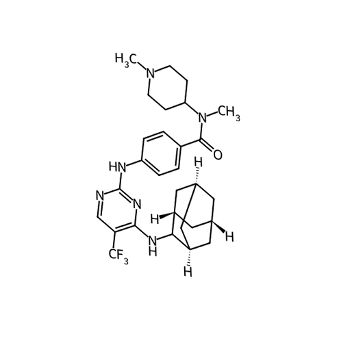 CN1CCC(N(C)C(=O)c2ccc(Nc3ncc(C(F)(F)F)c(NC4[C@H]5C[C@@H]6C[C@@H](C[C@H]4C6)C5)n3)cc2)CC1